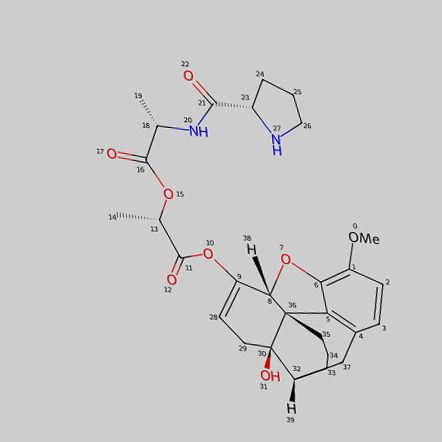 COc1ccc2c3c1O[C@H]1C(OC(=O)[C@H](C)OC(=O)[C@H](C)NC(=O)[C@@H]4CCCN4)=CC[C@@]4(O)[C@H](CCC[C@]314)C2